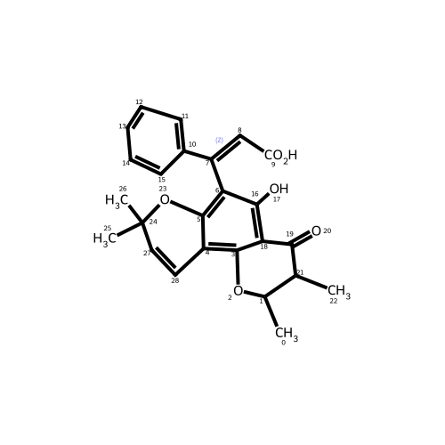 CC1Oc2c3c(c(/C(=C\C(=O)O)c4ccccc4)c(O)c2C(=O)C1C)OC(C)(C)C=C3